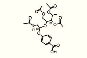 CC(=O)NC[C@H](Oc1ccc(S(=O)O)cc1)OC(COC(C)=O)[C@@H](OC(C)=O)C(C)OC(C)=O